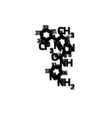 Cc1cc2ncc(C(=O)Nc3ccnc(N)c3)n2nc1-c1ccccc1C(F)(F)F